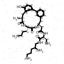 NCCCC(N)CNC(=O)[C@H](CN)NC(=O)C[C@@H]1Cc2cccc(c2)-c2ccc(O)c(c2)C[C@H](N)C(=O)N[C@@H](CCCN)C(=O)N1